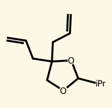 C=CCC1(CC=C)COC(C(C)C)O1